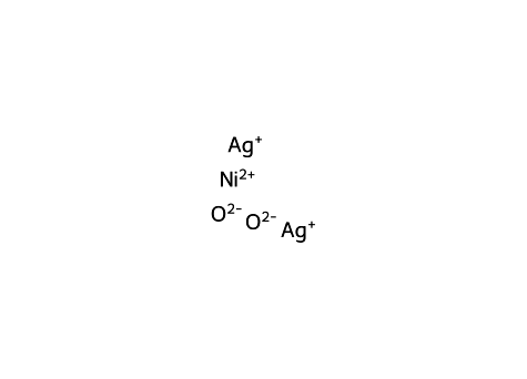 [Ag+].[Ag+].[Ni+2].[O-2].[O-2]